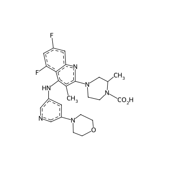 Cc1c(N2CCN(C(=O)O)C(C)C2)nc2cc(F)cc(F)c2c1Nc1cncc(N2CCOCC2)c1